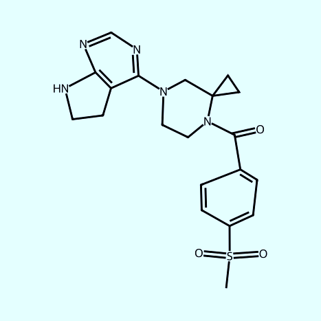 CS(=O)(=O)c1ccc(C(=O)N2CCN(c3ncnc4c3CCN4)CC23CC3)cc1